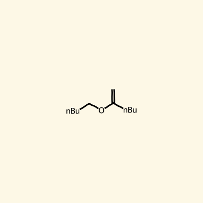 C=C(CCCC)OCCCCC